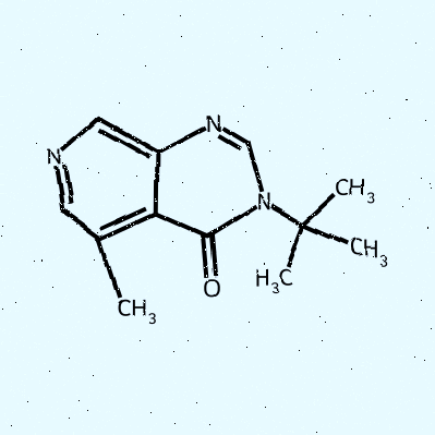 Cc1cncc2ncn(C(C)(C)C)c(=O)c12